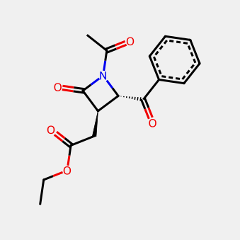 CCOC(=O)C[C@H]1C(=O)N(C(C)=O)[C@@H]1C(=O)c1ccccc1